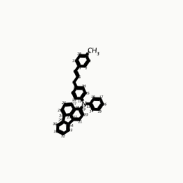 Cc1ccc(C=CCc2ccc(N(c3ccccc3)c3ccc4c5c(cccc35)-c3ccccc3-4)cc2)cc1